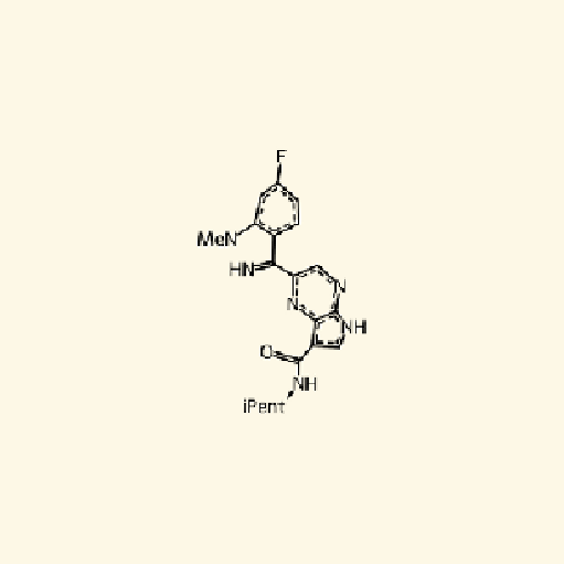 CCC[C@H](C)NC(=O)c1c[nH]c2ncc(C(=N)c3ccc(F)cc3NC)nc12